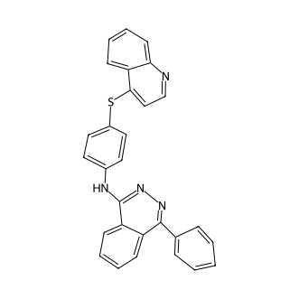 c1ccc(-c2nnc(Nc3ccc(Sc4ccnc5ccccc45)cc3)c3ccccc23)cc1